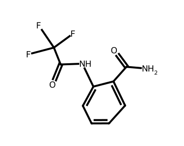 NC(=O)c1ccccc1NC(=O)C(F)(F)F